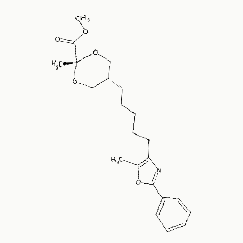 COC(=O)[C@]1(C)OC[C@H](CCCCCc2nc(-c3ccccc3)oc2C)CO1